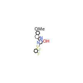 COc1ccc2c(c1)CCc1c-2nn2c(O)cc(CSc3cccc(F)c3F)nc12